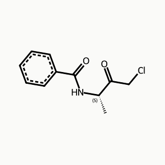 C[C@H](NC(=O)c1ccccc1)C(=O)CCl